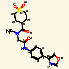 CN(CC(=O)Nc1ccc(-c2cocn2)cc1)C(=O)C1CCS(=O)(=O)CC1